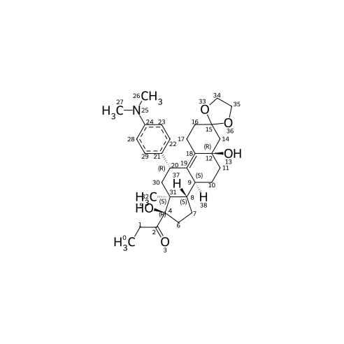 CCC(=O)[C@@]1(O)CC[C@H]2[C@@H]3CC[C@@]4(O)CC5(CCC4=C3[C@@H](c3ccc(N(C)C)cc3)C[C@@]21C)OCCO5